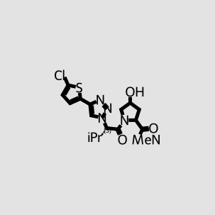 CNC(=O)C1CC(O)CN1C(=O)[C@H](C(C)C)n1cc(-c2ccc(Cl)s2)nn1